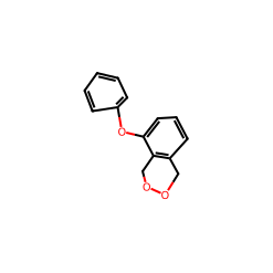 c1ccc(Oc2cccc3c2COOC3)cc1